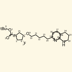 CC(C)(C)OC(=O)N1C[C@@H](F)[C@@H](OCCCCCc2ccc3c(n2)NCCC3)C1